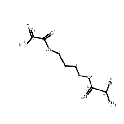 C=C(C)C(=O)OCCCCOC(=O)C(C)Br